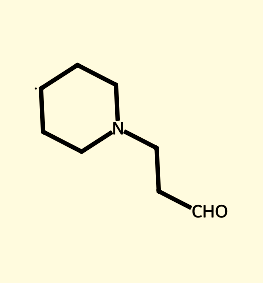 O=CCCN1CC[CH]CC1